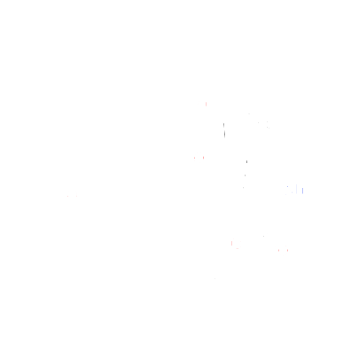 CCOC(=O)[C@@H]1Cc2c(ccc(OC)c2OCc2ccc(OC)cc2)CN1